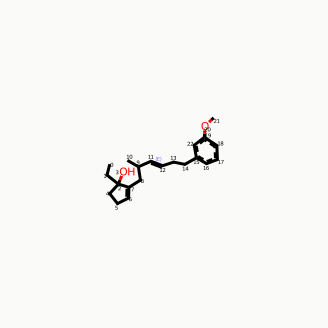 CCC1(O)CCC=C1CC(C)/C=C/CCc1cccc(OC)c1